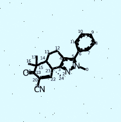 Cn1nc2c(c1-c1ccccc1)CCC1C(C)(C)C(=O)C(C#N)=C[C@]21C